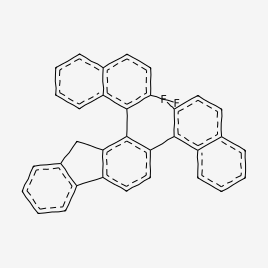 Fc1ccc2ccccc2c1-c1ccc2c(c1-c1c(F)ccc3ccccc13)Cc1ccccc1-2